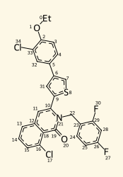 CCOc1ccc(-c2csc(-c3cc4cccc(Cl)c4c(=O)n3Cc3ccc(F)cc3F)c2)cc1Cl